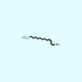 CCCC/C=C\C=C/CCCCCCCCC(=O)O